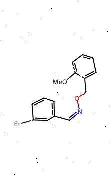 CCc1cccc(/[C]=N\OCc2ccccc2OC)c1